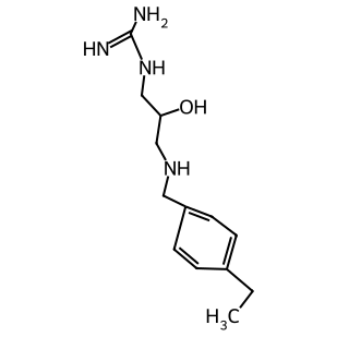 CCc1ccc(CNCC(O)CNC(=N)N)cc1